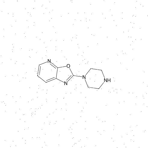 c1cnc2oc(N3CCNCC3)nc2c1